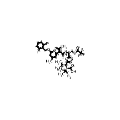 Cc1cc(OCc2c(F)cccc2F)n2nc(C)c(C(=O)N[C@@H](COC(=O)C(F)(F)F)c3nnc([C@H](C(C)C)N(C(=O)O)C(C)(C)C)o3)c2c1